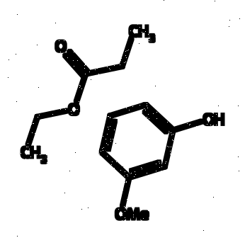 CCOC(=O)CC.COc1cccc(O)c1